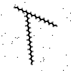 [CH2]CCCCCC(CCCCCCCCCCCCC)CCCCCCCCCCCCCCCCCCCCC